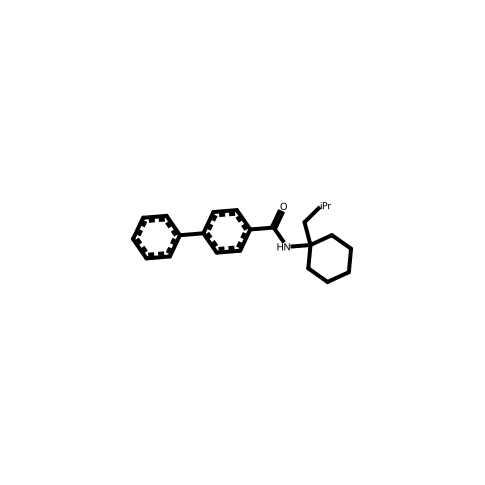 CC(C)CC1(NC(=O)c2ccc(-c3ccccc3)cc2)CCCCC1